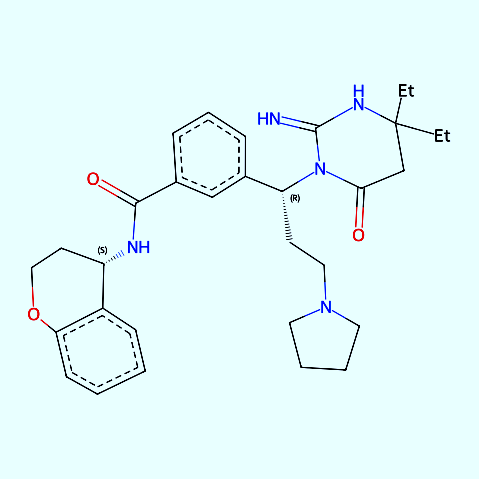 CCC1(CC)CC(=O)N([C@H](CCN2CCCC2)c2cccc(C(=O)N[C@H]3CCOc4ccccc43)c2)C(=N)N1